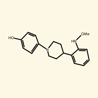 CONc1ccccc1C1CCN(c2ccc(O)cc2)CC1